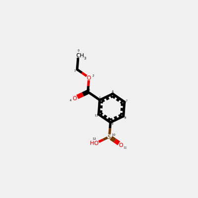 CCOC(=O)c1cccc(S(=O)O)c1